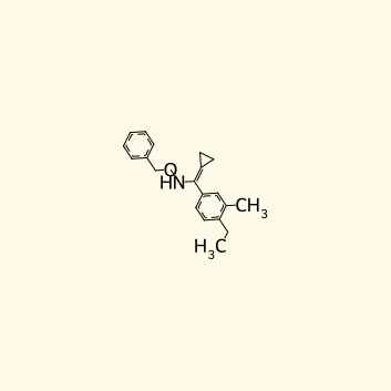 CCc1ccc(C(NOCc2ccccc2)=C2CC2)cc1C